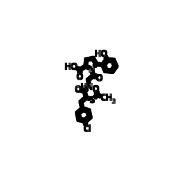 CC(=O)SC(Cc1ccc(Cl)cc1)C(=O)NCC(=O)N1C(C(=O)O)CCC1c1ccccc1O